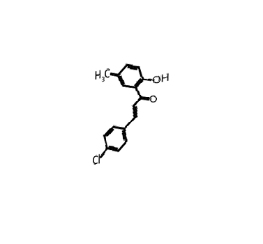 Cc1ccc(O)c(C(=O)/C=C/c2ccc(Cl)cc2)c1